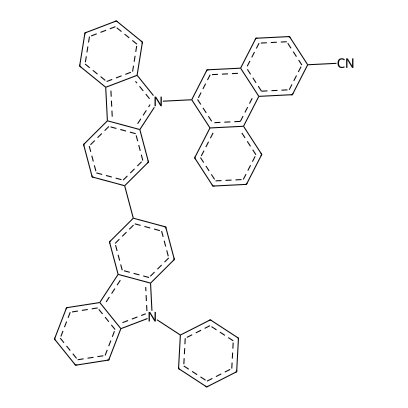 N#Cc1ccc2cc(-n3c4ccccc4c4ccc(-c5ccc6c(c5)c5ccccc5n6-c5ccccc5)cc43)c3ccccc3c2c1